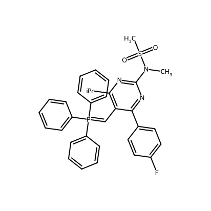 CC(C)c1nc(N(C)S(C)(=O)=O)nc(-c2ccc(F)cc2)c1C=P(c1ccccc1)(c1ccccc1)c1ccccc1